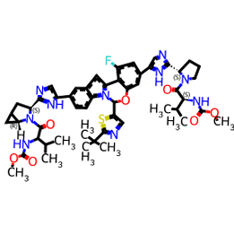 COC(=O)NC(C(=O)N1[C@@H]2CC2C[C@H]1c1ncc(-c2ccc3c(c2)cc2n3C(c3cnc(C(C)(C)C)s3)Oc3cc(-c4cnc([C@@H]5CCCN5C(=O)[C@@H](NC(=O)OC)C(C)C)[nH]4)cc(F)c3-2)[nH]1)C(C)C